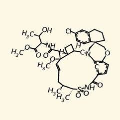 COC(=O)[C@H](NC(=O)C[C@]1(OC)/C=C/C[C@H](C)[C@@H](C)S(=O)(=O)NC(=O)c2ccc3c(c2)N(C[C@@H]2CC[C@H]21)C[C@@]1(CCCc2cc(Cl)ccc21)CO3)[C@@H](C)O